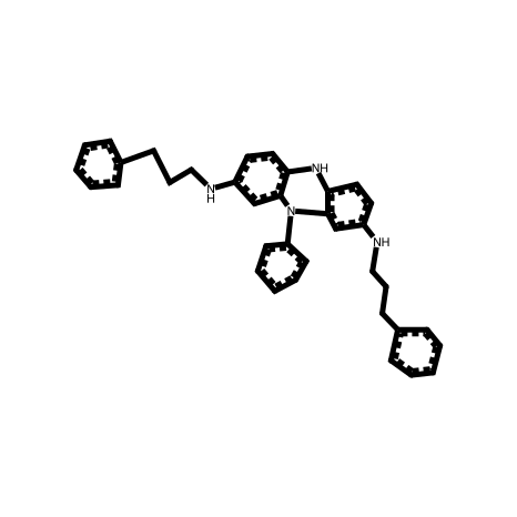 c1ccc(CCCNc2ccc3c(c2)N(c2ccccc2)c2cc(NCCCc4ccccc4)ccc2N3)cc1